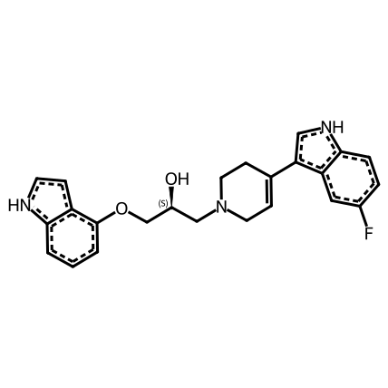 O[C@H](COc1cccc2[nH]ccc12)CN1CC=C(c2c[nH]c3ccc(F)cc23)CC1